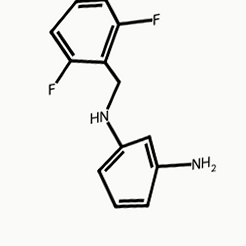 Nc1cccc(NCc2c(F)cccc2F)c1